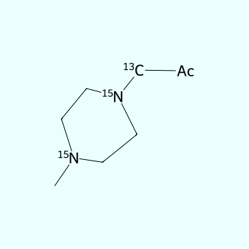 CC(=[18O])[13CH2][15N]1CC[15N](C)CC1